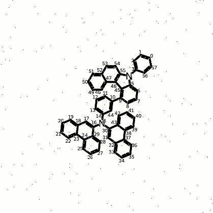 c1ccc(-n2c3cccc(-c4cccc(N(c5cc6ccccc6c6ccccc56)c5cc6ccccc6c6ccccc56)c4)c3c3c4ccccc4ccc32)cc1